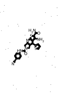 N#Cc1ccc(NC(=O)N2Cc3nc4sc(C(N)=O)c(N)c4c(-c4cccs4)c3C2)cc1